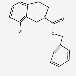 O=C(OCc1ccccc1)N1CCc2cccc(Br)c2C1